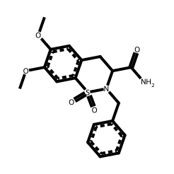 COc1cc2c(cc1OC)S(=O)(=O)N(Cc1ccccc1)C(C(N)=O)C2